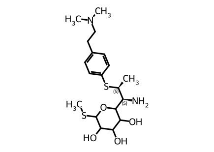 CSC1OC([C@H](N)[C@H](C)Sc2ccc(CCN(C)C)cc2)C(O)C(O)C1O